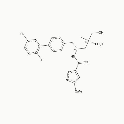 COc1cc(C(=O)N[C@H](Cc2ccc(-c3cc(Cl)ccc3F)cc2)C[C@@](C)(CO)C(=O)O)on1